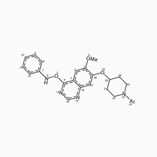 COc1cc2c(ONc3ccccc3)ncnc2cc1OC1CCN(C(C)=O)CC1